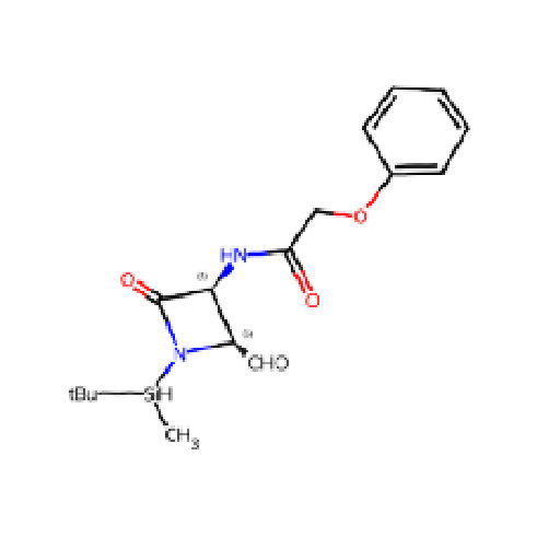 C[SiH](N1C(=O)[C@@H](NC(=O)COc2ccccc2)[C@H]1C=O)C(C)(C)C